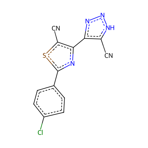 N#Cc1[nH]nnc1-c1nc(-c2ccc(Cl)cc2)sc1C#N